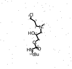 CN(CCCCl)C[C@H](O)COC(=O)NC(C)(C)C